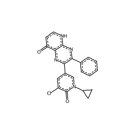 O=c1cc[nH]c2nc(-c3ccccc3)c(-c3cc(Cl)c(=O)n(C4CC4)c3)nc12